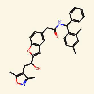 Cc1ccc(C(NC(=O)Cc2ccc3oc(C(O)Cc4c(C)noc4C)cc3c2)c2ccccc2)c(C)c1